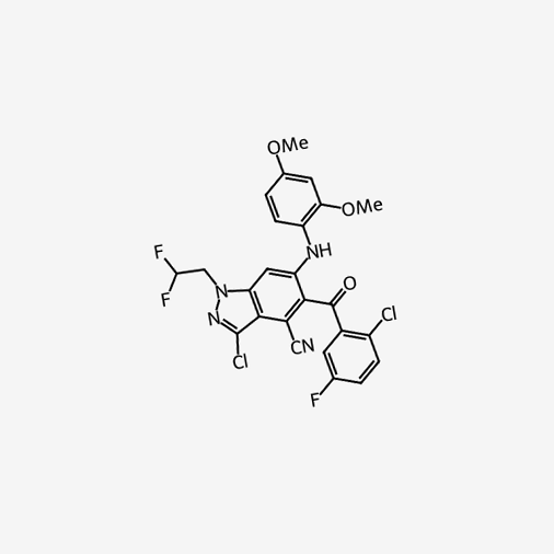 COc1ccc(Nc2cc3c(c(Cl)nn3CC(F)F)c(C#N)c2C(=O)c2cc(F)ccc2Cl)c(OC)c1